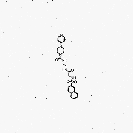 O=C(CNS(=O)(=O)c1ccc2ccccc2c1)NCCNC(=O)N1CCN(c2ccncc2)CC1